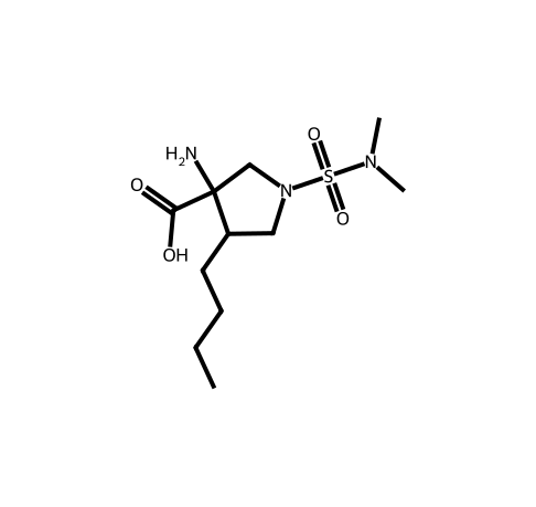 CCCCC1CN(S(=O)(=O)N(C)C)CC1(N)C(=O)O